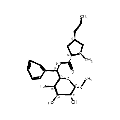 CCC[C@@H]1C[C@@H](C(=O)N[C@H](c2ccccc2)[C@H]2O[C@H](SC)[C@H](O)[C@@H](O)[C@H]2O)N(C)C1